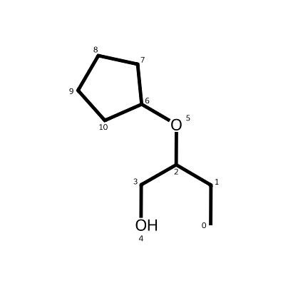 CCC(CO)OC1CCCC1